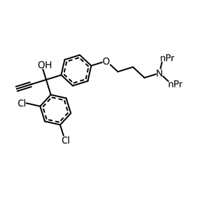 C#CC(O)(c1ccc(OCCCN(CCC)CCC)cc1)c1ccc(Cl)cc1Cl